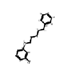 Fc1[c]ccc(OCCCCCc2ccccc2)c1